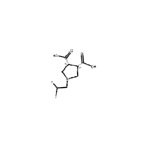 O=C(O)[C@H]1CN(CC(F)F)C[C@H]1C(=O)O